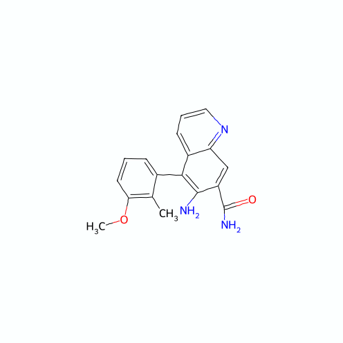 COc1cccc(-c2c(N)c(C(N)=O)cc3ncccc23)c1C